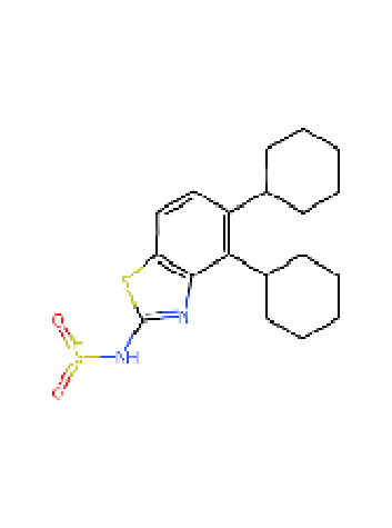 O=[SH](=O)Nc1nc2c(C3CCCCC3)c(C3CCCCC3)ccc2s1